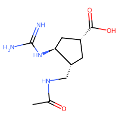 CC(=O)NC[C@H]1C[C@@H](C(=O)O)C[C@@H]1NC(=N)N